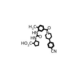 Cc1ccc(C(=O)N2CCC(c3ccc(C#N)cc3)CC2)cc1NC(=O)NC1CCCC1C(=O)O